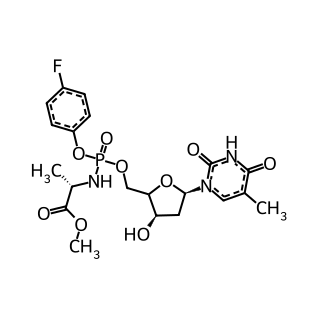 COC(=O)[C@H](C)NP(=O)(OCC1O[C@@H](n2cc(C)c(=O)[nH]c2=O)C[C@H]1O)Oc1ccc(F)cc1